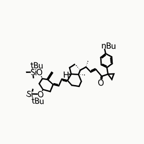 C=C1/C(=C\C=C2/CCC[C@]3(C)[C@@H]([C@H](C)/C=C/C(=O)C4(c5ccc(CCCC)cc5)CC4)CC[C@@H]23)C[C@@H](O[Si](C)(C)C(C)(C)C)C[C@@H]1O[Si](C)(C)C(C)(C)C